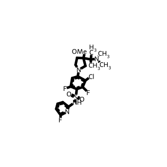 COC1(C(C)(C)N(C)C)CCN(c2cc(F)c(S(=O)(=O)Nc3cccc(F)n3)c(F)c2Cl)C1